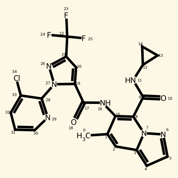 Cc1cc2ccnn2c(C(=O)NC2CC2)c1NC(=O)c1cc(C(F)(F)F)nn1-c1ncccc1Cl